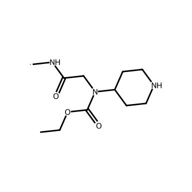 [CH2]NC(=O)CN(C(=O)OCC)C1CCNCC1